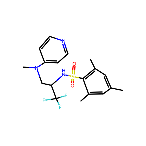 Cc1cc(C)c(S(=O)(=O)NC(CN(C)c2ccncc2)C(F)(F)F)c(C)c1